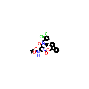 CC(C)(C)OC(=O)N[C@@H]1C[C@@H](C(=O)N(Cc2cccc(Cl)c2Cl)C2CC2)CN(C(=O)OCC2c3ccccc3-c3ccccc32)C1